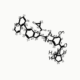 COc1cc(C(=O)N2C[C@H]3CC[C@@H]2[C@@H]3N)cc2nc(-c3cc4ccc(-c5cccc6ncccc56)cc4n3CC3CC3)n(C)c12